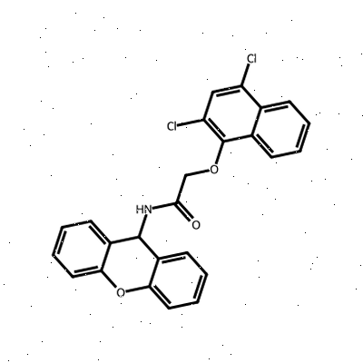 O=C(COc1c(Cl)cc(Cl)c2ccccc12)NC1c2ccccc2Oc2ccccc21